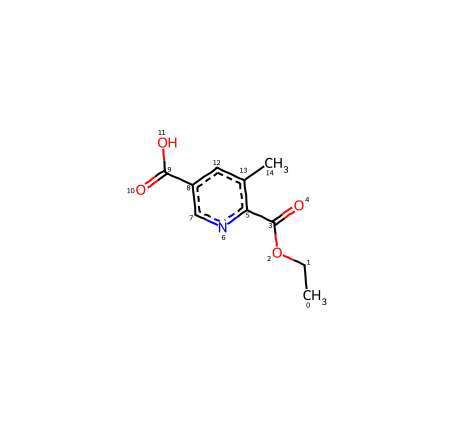 CCOC(=O)c1ncc(C(=O)O)cc1C